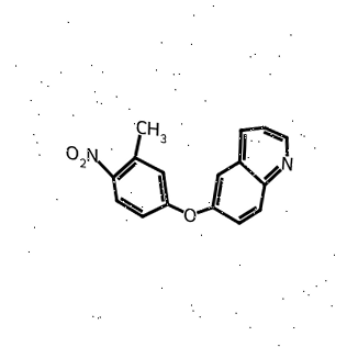 Cc1cc(Oc2ccc3ncccc3c2)ccc1[N+](=O)[O-]